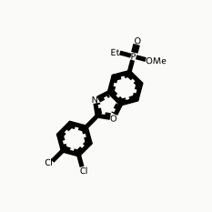 CCP(=O)(OC)c1ccc2oc(-c3ccc(Cl)c(Cl)c3)nc2c1